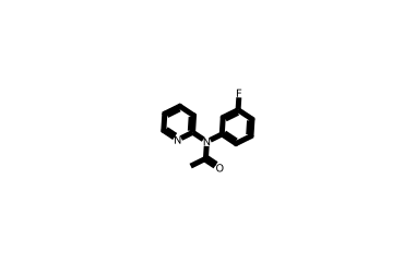 CC(=O)N(c1cccc(F)c1)c1ccccn1